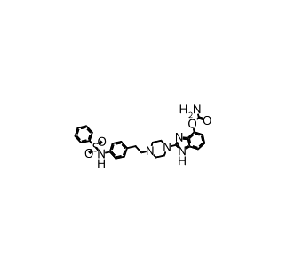 NC(=O)Oc1cccc2[nH]c(N3CCN(CCc4ccc(NS(=O)(=O)c5ccccc5)cc4)CC3)nc12